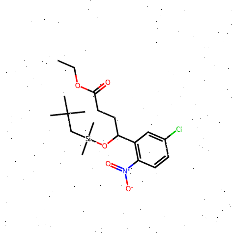 CCOC(=O)CCC(O[Si](C)(C)CC(C)(C)C)c1cc(Cl)ccc1[N+](=O)[O-]